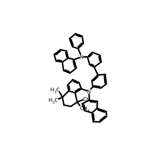 CC1(C)CCC(C)(C)c2c(N(c3cccc(-c4cccc(N(c5ccccc5)c5cccc6ccccc56)c4)c3)c3ccc4ccccc4c3)cccc21